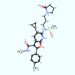 CNC(=O)c1c(-c2ccc(C)cc2)oc2nc(N(CCCN3CCCC3=O)[S+](C)[O-])c(C3CC3)cc12